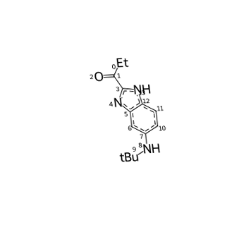 CCC(=O)c1nc2cc(NC(C)(C)C)ccc2[nH]1